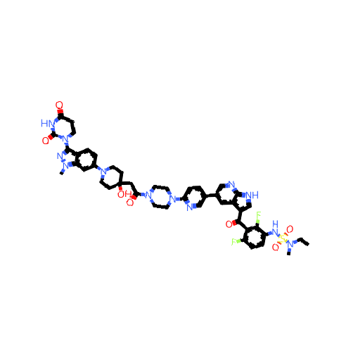 CCN(C)S(=O)(=O)Nc1ccc(F)c(C(=O)c2c[nH]c3ncc(-c4ccc(N5CCN(C(=O)CC6(O)CCN(c7ccc8c(N9CCC(=O)NC9=O)nn(C)c8c7)CC6)CC5)nc4)cc23)c1F